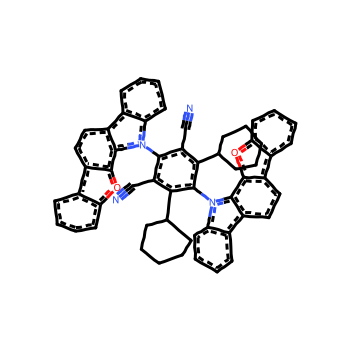 N#Cc1c(C2CCCCC2)c(-n2c3ccccc3c3ccc4c5ccccc5oc4c32)c(C2CCCCC2)c(C#N)c1-n1c2ccccc2c2ccc3c4ccccc4oc3c21